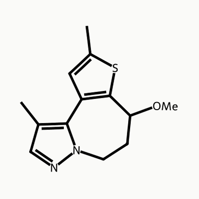 COC1CCn2ncc(C)c2-c2cc(C)sc21